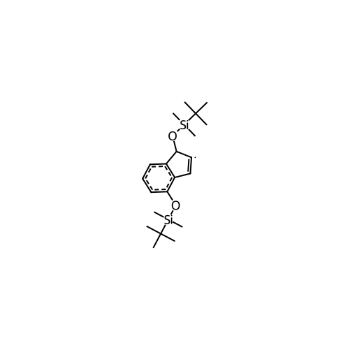 CC(C)(C)[Si](C)(C)Oc1cccc2c1C=[C]C2O[Si](C)(C)C(C)(C)C